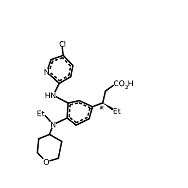 CC[C@H](CC(=O)O)c1ccc(N(CC)C2CCOCC2)c(Nc2ccc(Cl)cn2)c1